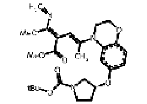 C=N/C(OC)=C(\C=C(/C)N1CCOc2ccc(O[C@H]3CCN(C(=O)OC(C)(C)C)C3)cc21)C(=O)OC